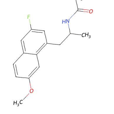 COc1ccc2cc(F)cc(CC(C)NC(C)=O)c2c1